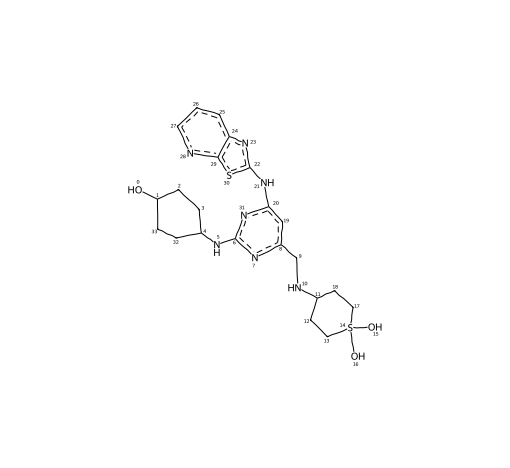 OC1CCC(Nc2nc(CNC3CCS(O)(O)CC3)cc(Nc3nc4cccnc4s3)n2)CC1